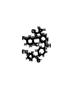 CCn1cnc([S+]([O-])N2CCC(Nc3ncc4c(n3)N(c3cc(F)ccc3Cl)C(=O)C43CC3)CC2)c1